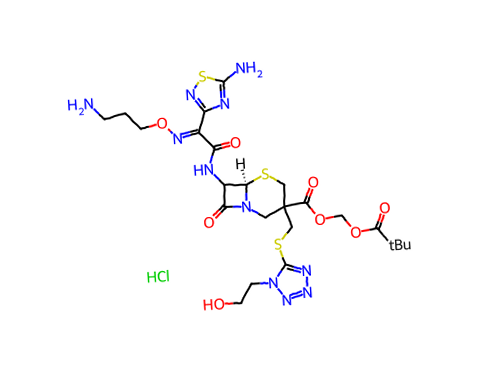 CC(C)(C)C(=O)OCOC(=O)C1(CSc2nnnn2CCO)CS[C@@H]2C(NC(=O)C(=NOCCCN)c3nsc(N)n3)C(=O)N2C1.Cl